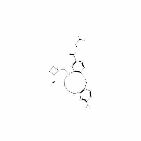 CC(C)COC(=O)c1ccc2c(c1)N(C[C@@H]1CC[C@H]1C=O)CCCCc1cc(Cl)ccc1CO2